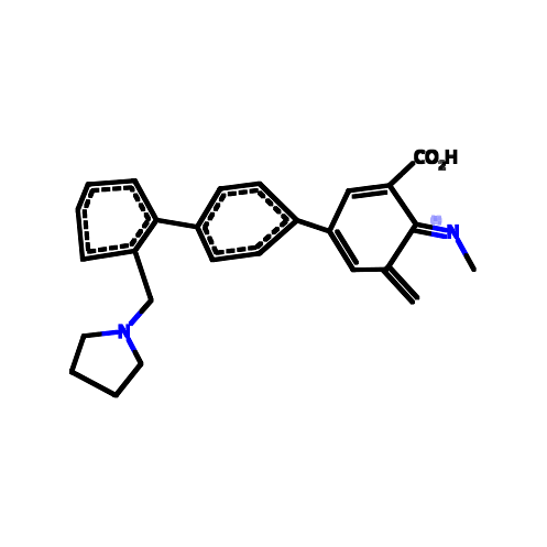 C=C1C=C(c2ccc(-c3ccccc3CN3CCCC3)cc2)C=C(C(=O)O)/C1=N/C